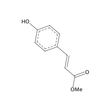 [CH2]OC(=O)/C=C/c1ccc(O)cc1